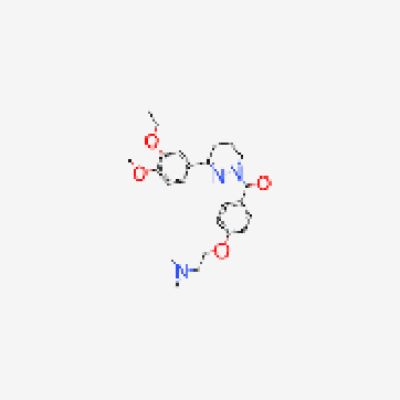 CCOc1cc(C2=NN(C(=O)c3ccc(OCCN(C)C)cc3)CCC2)ccc1OC